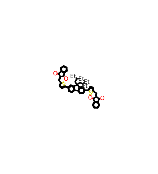 CCC(CC)CC1(CC(CC)CC)c2cc(-c3ccc(C=C4C(=O)c5ccccc5C4=O)s3)ccc2-c2ccc(-c3ccc(C=C4C(=O)c5ccccc5C4=O)s3)cc21